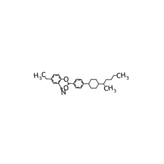 CCCCC(C)C1CCC(c2ccc(C(=O)Oc3ccc(CC)cc3C#N)cc2)CC1